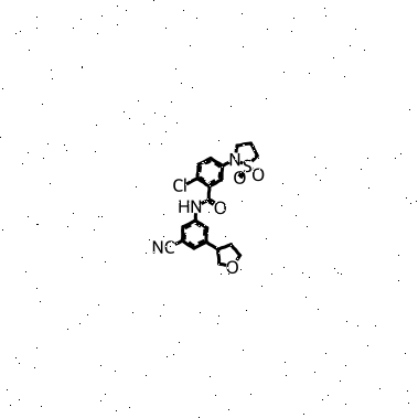 N#Cc1cc(NC(=O)c2cc(N3CCCS3(=O)=O)ccc2Cl)cc(C2CCOC2)c1